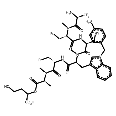 Bc1ccc(Cn2cc(C[C@@H](C(=O)N[C@@H](CC(C)C)C(=O)N(C)[C@@H](C)C(=O)O[C@H](CCC#N)C(=O)O)N(C)C(=O)[C@H](CC(C)C)NC(=O)[C@H](CC(C)C)N(C)C(=O)[C@@H](N)C(F)(F)F)c3ccccc32)cc1